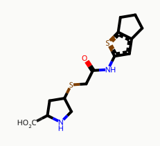 O=C(CSC1CNC(C(=O)O)C1)Nc1cc2c(s1)CCC2